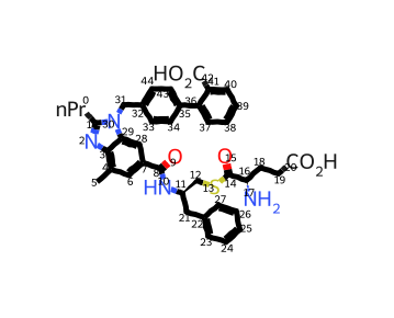 CCCc1nc2c(C)cc(C(=O)N[C@@H](CSC(=O)[C@@H](N)CCC(=O)O)Cc3ccccc3)cc2n1Cc1ccc(-c2ccccc2C(=O)O)cc1